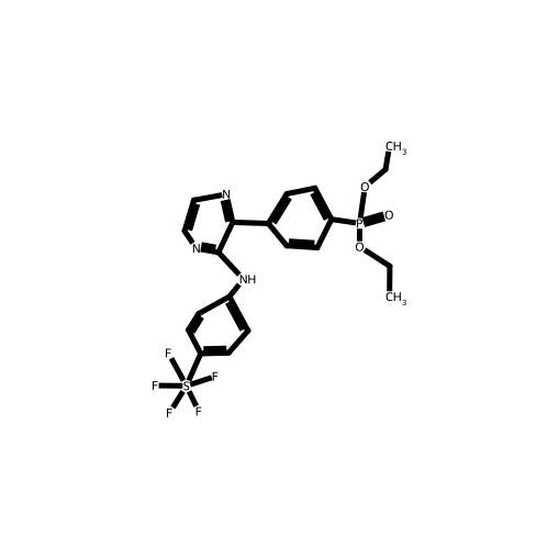 CCOP(=O)(OCC)c1ccc(-c2nccnc2Nc2ccc(S(F)(F)(F)(F)F)cc2)cc1